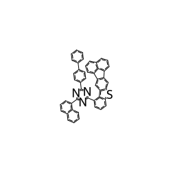 c1ccc(-c2ccc(-c3nc(-c4cccc5ccccc45)nc(-c4cccc5sc6cc7c(cc6c45)-c4cccc5cccc-7c45)n3)cc2)cc1